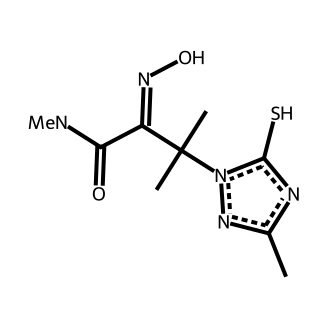 CNC(=O)/C(=N/O)C(C)(C)n1nc(C)nc1S